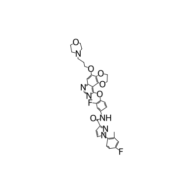 Cc1cc(F)ccc1-n1ccc(C(=O)Nc2ccc(Oc3ncnc4cc(OCCCN5CCOCC5)c5c(c34)OCCO5)c(F)c2)n1